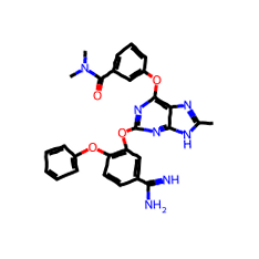 Cc1nc2c(Oc3cccc(C(=O)N(C)C)c3)nc(Oc3cc(C(=N)N)ccc3Oc3ccccc3)nc2[nH]1